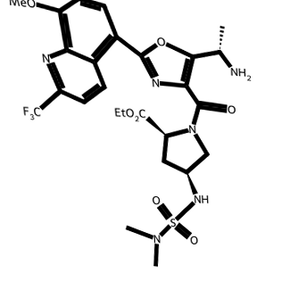 CCOC(=O)[C@@H]1C[C@H](NS(=O)(=O)N(C)C)CN1C(=O)c1nc(-c2ccc(OC)c3nc(C(F)(F)F)ccc23)oc1[C@H](C)N